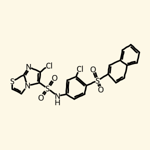 O=S(=O)(Nc1ccc(S(=O)(=O)c2ccc3ccccc3c2)c(Cl)c1)c1c(Cl)nc2sccn12